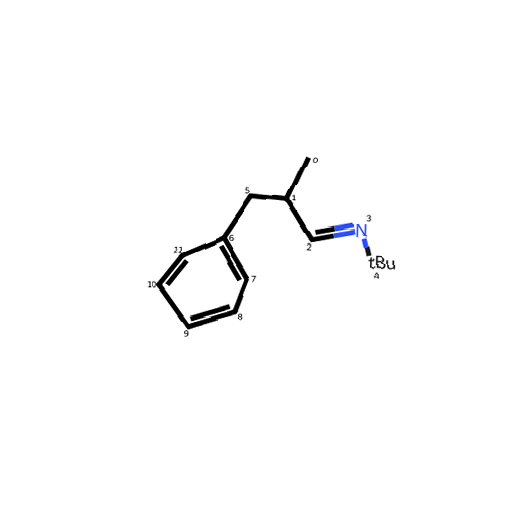 CC(C=NC(C)(C)C)Cc1ccccc1